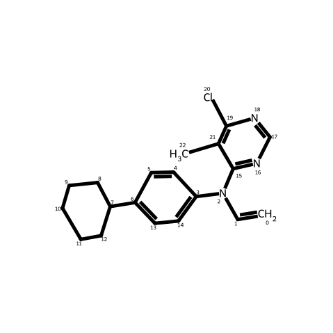 C=CN(c1ccc(C2CCCCC2)cc1)c1ncnc(Cl)c1C